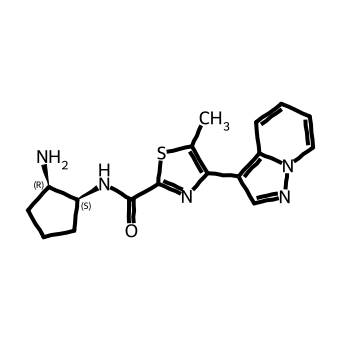 Cc1sc(C(=O)N[C@H]2CCC[C@H]2N)nc1-c1cnn2ccccc12